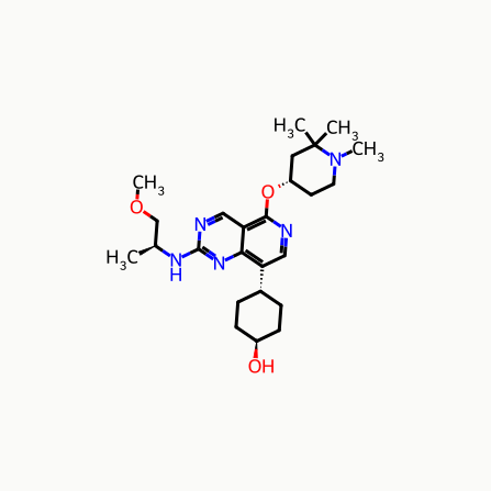 COC[C@H](C)Nc1ncc2c(O[C@H]3CCN(C)C(C)(C)C3)ncc([C@H]3CC[C@H](O)CC3)c2n1